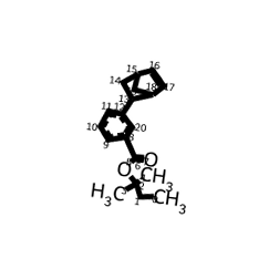 CCC(C)(C)OC(=O)c1cccc(C2CC3C=CC2C3)c1